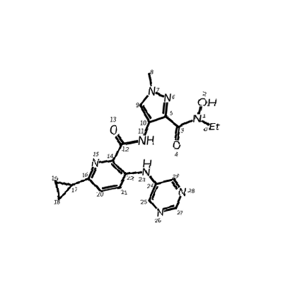 CCN(O)C(=O)c1nn(C)cc1NC(=O)c1nc(C2CC2)ccc1Nc1cncnc1